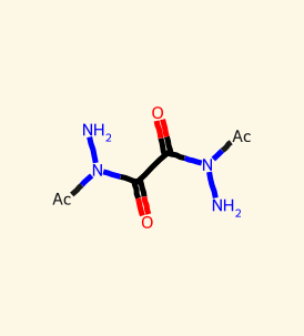 CC(=O)N(N)C(=O)C(=O)N(N)C(C)=O